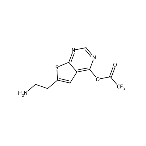 NCCc1cc2c(OC(=O)C(F)(F)F)ncnc2s1